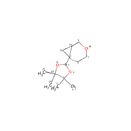 CC1(C)OB(C23CCOCC2C3)OC1(C)C